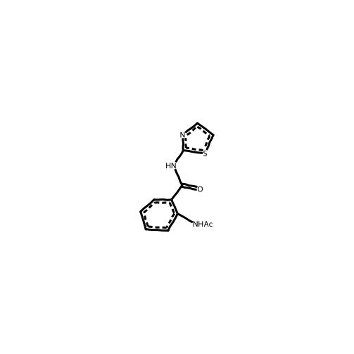 CC(=O)Nc1ccccc1C(=O)Nc1nccs1